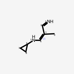 C/C(C=N)=C/NC1CC1